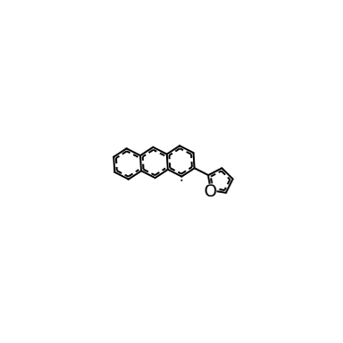 [c]1c(-c2ccco2)ccc2cc3ccccc3cc12